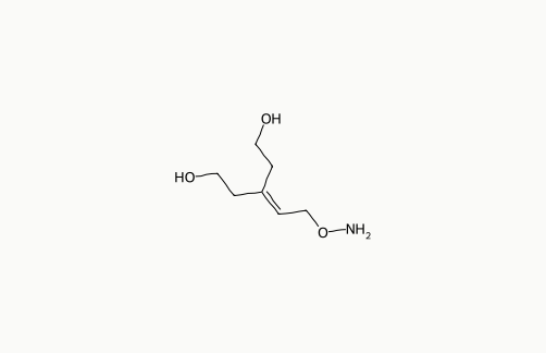 NOCC=C(CCO)CCO